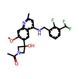 COc1cc2nc(C)cc(NCc3cccc(C(F)F)c3F)c2cc1C1(O)CN(C(C)=O)C1